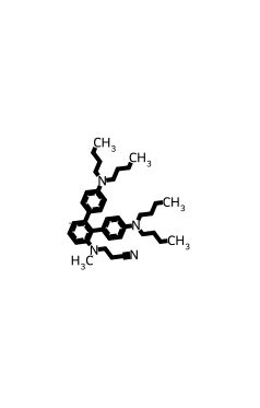 CCCCN(CCCC)c1ccc(-c2[c]ccc(N(C)CCC#N)c2-c2ccc(N(CCCC)CCCC)cc2)cc1